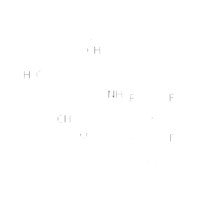 CC(C)[C@H](C)NC(=O)C1(C(F)(F)F)CC1